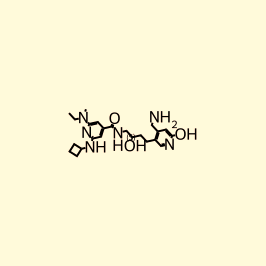 CCN(C)c1cc(C(=O)NC[C@@H](O)CCc2cnc(O)cc2CN)cc(NC2CCC2)n1